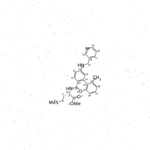 COC(=O)[C@H](CCSC)NC(=O)c1ccc(NCc2cccnc2)cc1-c1ccccc1C